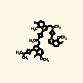 COc1ccc2c(CN(C)C3CC(n4cc(CN(C)C5CC(n6ccc7ccc(F)c(OC)c76)C5)c5ccc(F)c(C)c54)C3)cn(C3CC(N(C)C)C3)c2c1F